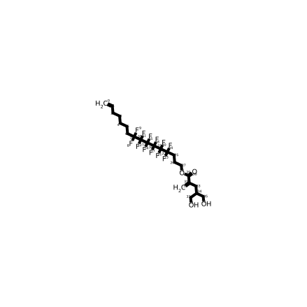 C=CCCCCCC(F)(F)C(F)(F)C(F)(F)C(F)(F)C(F)(F)C(F)(F)CCCOC(=O)C(=C)CC(CO)CO